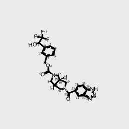 O=C(OCc1cccc(C(O)C(F)(F)F)c1)N1C[C@@H]2CN(C(=O)c3ccc4[nH]nnc4c3)C[C@@H]2C1